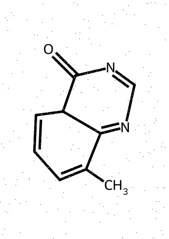 CC1=CC=CC2C(=O)N=CN=C12